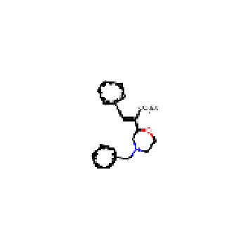 CCOC(=O)/C(=C\c1ccccc1)C1CN(Cc2ccccc2)CCO1